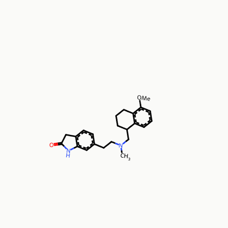 COc1cccc2c1CCCC2CN(C)CCc1ccc2c(c1)NC(=O)C2